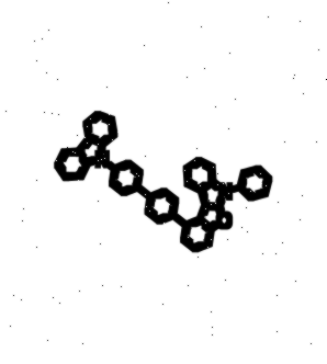 c1ccc(-n2c3ccccc3c3c4c(-c5ccc(-c6ccc(-n7c8ccccc8c8ccccc87)cc6)cc5)cccc4oc32)cc1